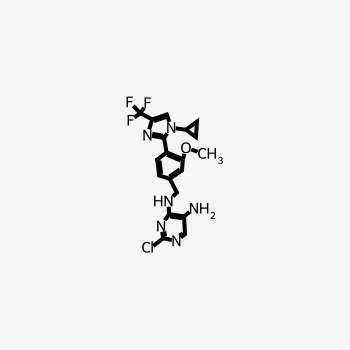 COc1cc(CNc2nc(Cl)ncc2N)ccc1-c1nc(C(F)(F)F)cn1C1CC1